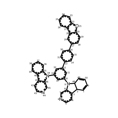 C1=CC2c3ccncc3N(c3cc(-c4ccc(-c5ccc6oc7ccccc7c6c5)cc4)cc(-n4c5ccccc5c5ccncc54)c3)C2C=C1